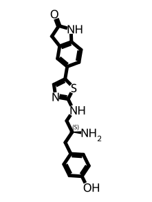 N[C@H](CNc1ncc(-c2ccc3c(c2)CC(=O)N3)s1)Cc1ccc(O)cc1